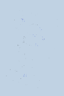 c1ccc(-c2nc(-c3ccccc3)nc(-n3c4ccccc4c4ccc5c(c6cc(-c7ccc(-c8ccc9c(c8)c8ccccc8n9-c8ccccc8)cc7)ccc6n5-c5ccccc5)c43)n2)cc1